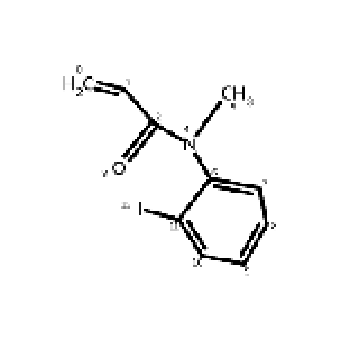 C=CC(=O)N(C)c1ccccc1I